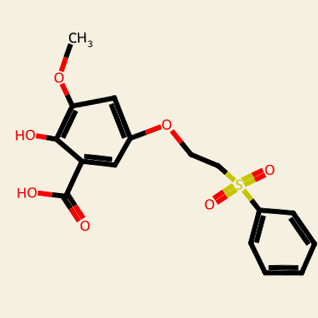 COc1cc(OCCS(=O)(=O)c2ccccc2)cc(C(=O)O)c1O